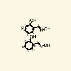 ON=Cc1ccccc1O.ON=Cc1ccccc1O.[Ni]